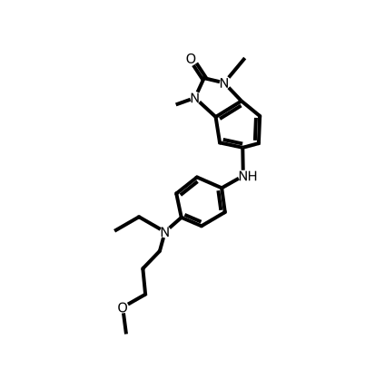 CCN(CCCOC)c1ccc(Nc2ccc3c(c2)n(C)c(=O)n3C)cc1